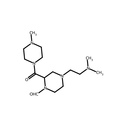 CN(C)CCN1CCN([C]=O)C(C(=O)N2CCN(C)CC2)C1